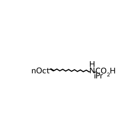 CCCCCCCC/C=C/CCCCCCCCCCCCN[C@H](C(=O)O)C(C)C